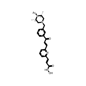 CC(=O)N1[C@H](C)CN(Cc2cccc(C(=O)C=Cc3cccc(C=CC(=O)NO)n3)c2)C[C@@H]1C